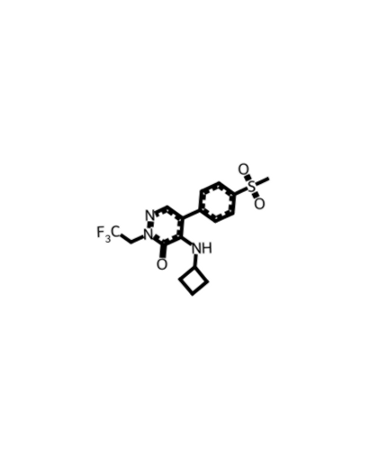 CS(=O)(=O)c1ccc(-c2cnn(CC(F)(F)F)c(=O)c2NC2CCC2)cc1